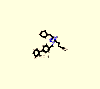 C#CCCc1nc(CC2CCCCC2)nn1Cc1ccc(-c2ccccc2C(=O)O)cc1